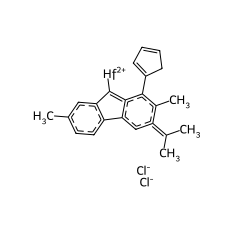 CC(C)=c1cc2c(c(C3=CC=CC3)c1C)=[C]([Hf+2])c1cc(C)ccc1-2.[Cl-].[Cl-]